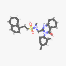 Cc1ccc(-n2c(CN(C)S(=O)(=O)CCc3cccc4ccccc34)nc3ccccc3c2=O)c(C)c1